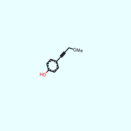 COCC#Cc1ccc(O)cc1